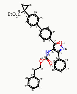 CCOC(=O)C1(c2ccc(-c3ccc(-c4onc(-c5ccccc5)c4NC(=O)OCCc4ccccc4)cc3)cc2)CC1